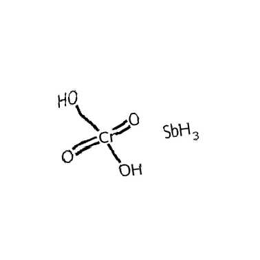 [O]=[Cr](=[O])([OH])[OH].[SbH3]